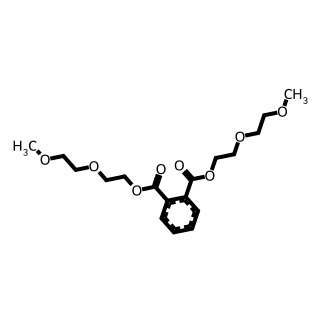 COCCOCCOC(=O)c1ccccc1C(=O)OCCOCCOC